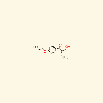 CC/C(=C/O)C(=O)c1ccc(OCCO)cc1